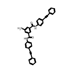 Nc1cc(C(=O)Nc2ccc(C#Cc3ccccc3)cc2)cc(C(=O)Nc2ccc(C#Cc3ccccc3)cc2)c1